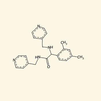 Cc1ccc(C(NCc2ccncc2)C(=O)NCc2ccncc2)c(C)c1